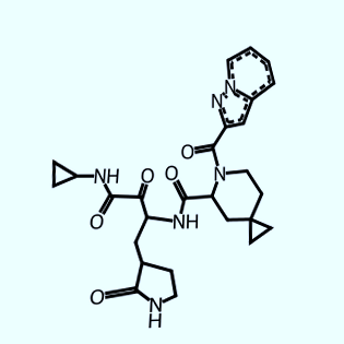 O=C(NC1CC1)C(=O)C(CC1CCNC1=O)NC(=O)C1CC2(CCN1C(=O)c1cc3ccccn3n1)CC2